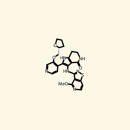 COc1nccc2snc(Nc3c(-c4ccncc4OC[C@H]4CCCO4)[nH]c4c3C(=O)NCC4)c12